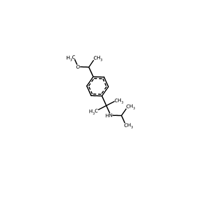 COC(C)c1ccc(C(C)(C)NC(C)C)cc1